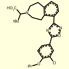 CC(C)Oc1ccc(-c2nc(-c3cccc4c3CCN(C(C(=O)O)C(C)(C)C)CC4)no2)cc1Cl